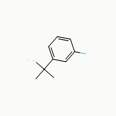 BC(C)(C)c1cccc(F)c1